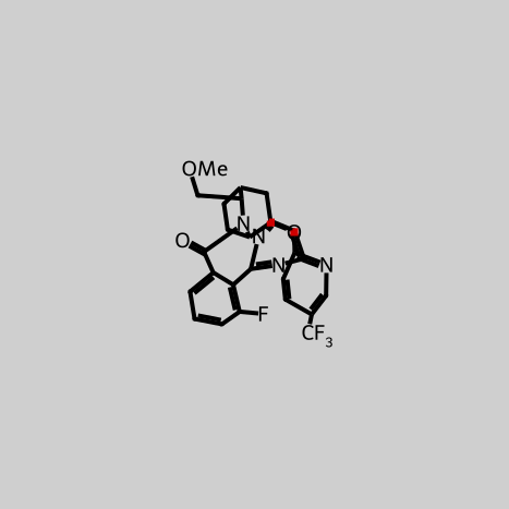 COCC1C2CCC(C(Oc3ccc(C(F)(F)F)cn3)C2)N1C(=O)c1cccc(F)c1-c1ncccn1